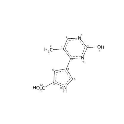 Cc1cnc(O)nc1-c1c[nH]c(C(=O)O)c1